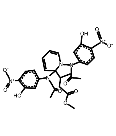 COC(=O)CC(C)C1(N(C(C)=O)c2ccc([N+](=O)[O-])c(O)c2)C=CC=CN1N(C(C)=O)c1ccc([N+](=O)[O-])c(O)c1